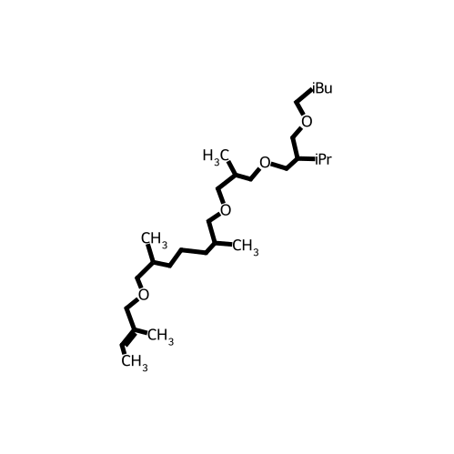 C/C=C(\C)COCC(C)CCCC(C)COCC(C)COCC(COCC(C)CC)C(C)C